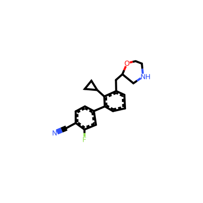 N#Cc1ccc(-c2cccc(CC3CNCCO3)c2C2CC2)cc1F